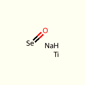 O=[Se].[NaH].[Ti]